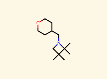 CC1(C)CN(CC2CCOCC2)C1(C)C